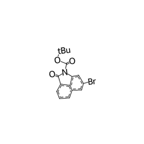 CC(C)(C)OC(=O)N1C(=O)c2cccc3cc(Br)cc1c23